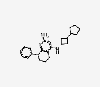 Nc1nc(N[C@H]2C[C@H](C3CCCC3)C2)c2c(n1)C(c1ccccc1)CCC2